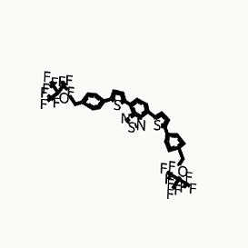 FC(F)(F)C(OCCc1ccc(-c2ccc(-c3ccc(-c4ccc(-c5ccc(CCOC(C(F)(F)F)(C(F)(F)F)C(F)(F)F)cc5)s4)c4nsnc34)s2)cc1)(C(F)(F)F)C(F)(F)F